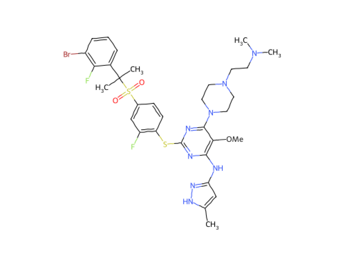 COc1c(Nc2cc(C)[nH]n2)nc(Sc2ccc(S(=O)(=O)C(C)(C)c3cccc(Br)c3F)cc2F)nc1N1CCN(CCN(C)C)CC1